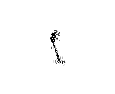 CC(=O)[C@H]1CCC2C3CCC4=C/C(=N/OCC(=O)NCCOCCOCCNC(=O)OC(C)(C)C)CC[C@]4(C)C3CC[C@@]21C